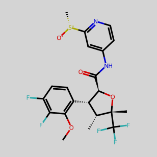 COc1c([C@@H]2[C@@H](C(=O)Nc3ccnc([S@@+](C)[O-])c3)O[C@](C)(C(F)(F)F)[C@@H]2C)ccc(F)c1F